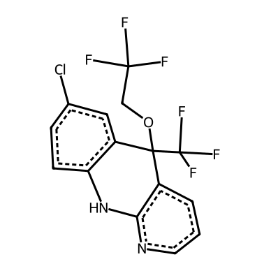 FC(F)(F)COC1(C(F)(F)F)c2cc(Cl)ccc2Nc2ncccc21